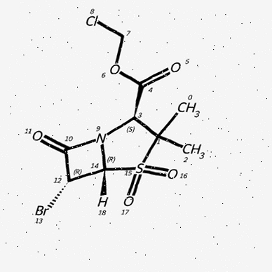 CC1(C)[C@H](C(=O)OCCl)N2C(=O)[C@@H](Br)[C@H]2S1(=O)=O